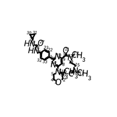 C[C@H]1COCCN1c1cc(C(=O)N(C)CCN(C)C)nc(-c2ccc(NC(=O)NC3CC3)cc2)n1